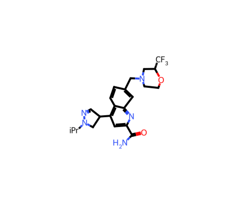 CC(C)N1CC(c2cc(C(N)=O)nc3cc(CN4CCOC(C(F)(F)F)C4)ccc23)C=N1